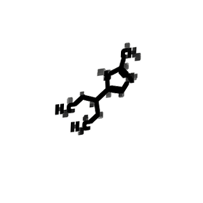 CCC(CC)c1cnc(C)s1